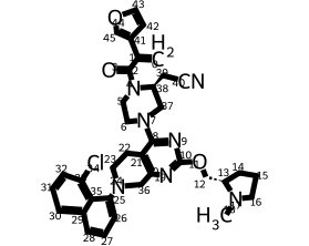 C=C(C(=O)N1CCN(c2nc(OC[C@@H]3CCCN3C)nc3c2CCN(c2cccc4cccc(Cl)c24)C3)C[C@@H]1CC#N)c1ccoc1